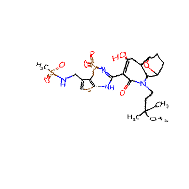 CC(C)(C)CCN1C(=O)C(C2=NS(=O)(=O)c3c(CNS(C)(=O)=O)csc3N2)=C(O)C2C3CCC(O3)C21